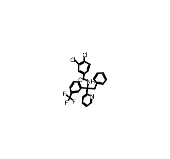 O=C(NC(Cc1ccccc1)(c1cccc(C(F)(F)F)c1)c1ccccn1)c1ccc(Cl)c(Cl)c1